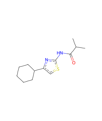 CC(C)C(=O)Nc1nc(C2CCCCC2)cs1